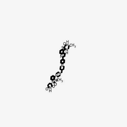 C[C@@H]1CNc2c(sc3ccc4nc(-c5ccc(N6CCC(CN7CCN(c8cccc9c8n(C)c(=O)n9C8CCC(=O)NC8=O)CC7)CC6)cc5)ccc4c23)C(=O)N1